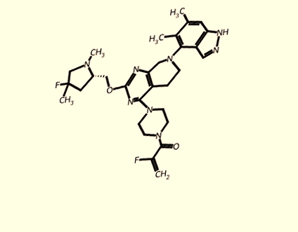 C=C(F)C(=O)N1CCN(c2nc(OC[C@@H]3CC(C)(F)CN3C)nc3c2CCN(c2c(C)c(C)cc4[nH]ncc24)C3)CC1